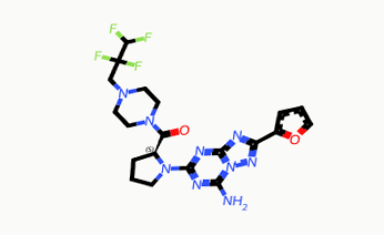 Nc1nc(N2CCC[C@H]2C(=O)N2CCN(CC(F)(F)C(F)F)CC2)nc2nc(-c3ccco3)nn12